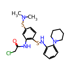 CN(C)Sc1ccc(SNc2ccccc2N2CCCCC2)c(NC(=O)CCl)c1